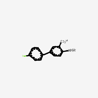 CC(=O)Nc1ccc(-c2ccc(F)cc2)cc1C(=O)O